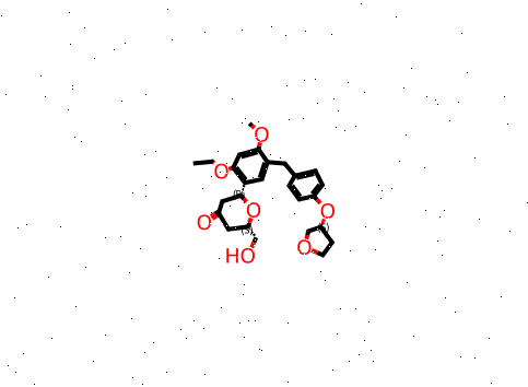 CCOc1cc(OC)c(Cc2ccc(O[C@H]3CCOC3)cc2)cc1[C@H]1CC(=O)C[C@@H](CO)O1